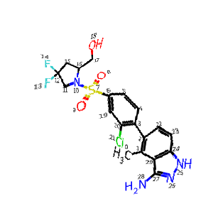 Cc1c(-c2ccc(S(=O)(=O)N3CC(F)(F)CC3CO)cc2Cl)ccc2[nH]nc(N)c12